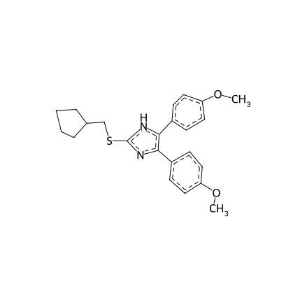 COc1ccc(-c2nc(SCC3CCCC3)[nH]c2-c2ccc(OC)cc2)cc1